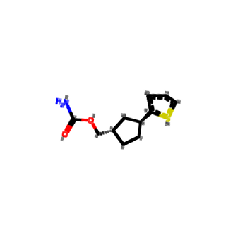 NC(=O)OC[C@H]1CC[C@H](c2cccs2)C1